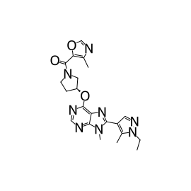 CCn1ncc(-c2nc3c(O[C@H]4CCN(C(=O)c5ocnc5C)C4)ncnc3n2C)c1C